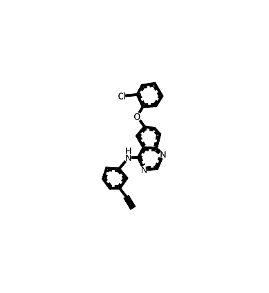 C#Cc1cccc(Nc2ncnc3ccc(Oc4ccccc4Cl)cc23)c1